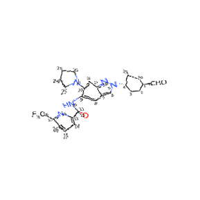 O=C[C@H]1CC[C@H](n2cc3cc(NC(=O)c4cccc(C(F)(F)F)n4)c(N4CCCC4)cc3n2)CC1